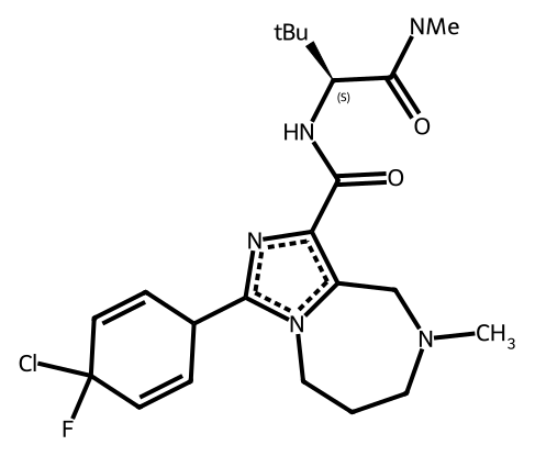 CNC(=O)[C@@H](NC(=O)c1nc(C2C=CC(F)(Cl)C=C2)n2c1CN(C)CCC2)C(C)(C)C